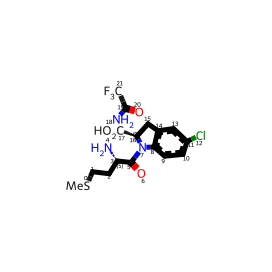 CSCC[C@H](N)C(=O)N1c2ccc(Cl)cc2C[C@@H]1C(=O)O.NC(=O)C(F)(F)F